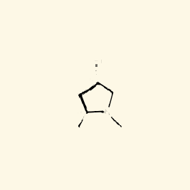 CC[C@H]1C[C@H](C(C)C)N(C)C1